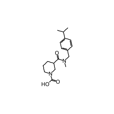 CC(C)c1ccc(CN(C)C(=O)C2CCCN(C(=O)O)C2)cc1